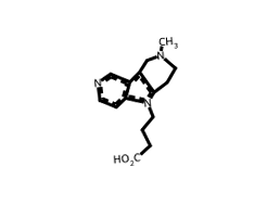 CN1CCc2c(c3cnccc3n2CCCC(=O)O)C1